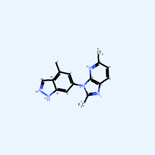 Cc1cc(-n2c(C(F)(F)F)nc3ccc(C(F)(F)F)nc32)cc2[nH]ncc12